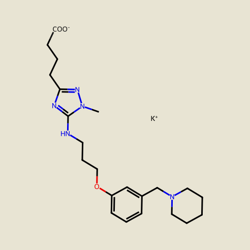 Cn1nc(CCCC(=O)[O-])nc1NCCCOc1cccc(CN2CCCCC2)c1.[K+]